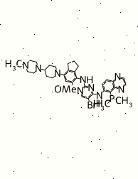 COc1cc(N2CCC(N3CCN(C)CC3)CC2)c2c(c1Nc1ncc(Br)c(Nc3ccc4nccnc4c3P(C)C)n1)CCC2